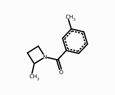 Cc1cccc(C(=O)N2CCC2C)c1